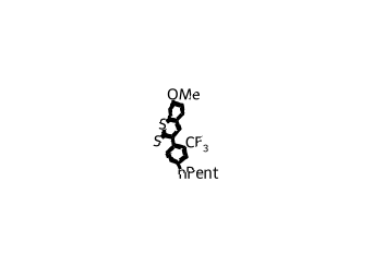 CCCCCc1ccc(-c2cc3ccc(OC)cc3sc2=S)c(C(F)(F)F)c1